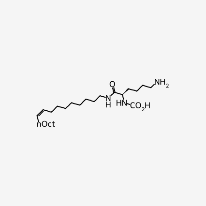 CCCCCCCC/C=C\CCCCCCCCNC(=O)[C@@H](CCCCN)NC(=O)O